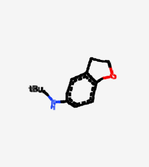 CC(C)(C)Nc1ccc2c(c1)CCO2